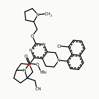 CN1CCCC1COc1nc2c(c(N3CC4CCC(CC#N)(C3)N4C(=O)OC(C)(C)C)n1)CCN(c1cccc3cccc(Cl)c13)C2